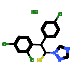 Cl.SC(C(c1ccc(Cl)cc1)c1ccc(Cl)cc1Cl)n1cncn1